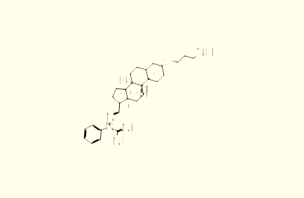 C[C@]12CCC(OCCCN)CC1CC[C@@H]1[C@H]2CC[C@]2(C)C(/C=N/N(C(=N)N)c3ccccc3)CC[C@@]12O